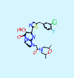 CC1CN(C(=O)Cn2ccn3c(=O)c(O)c(-c4ncc(Cc5ccc(F)c(Cl)c5)s4)nc23)CC(C)O1